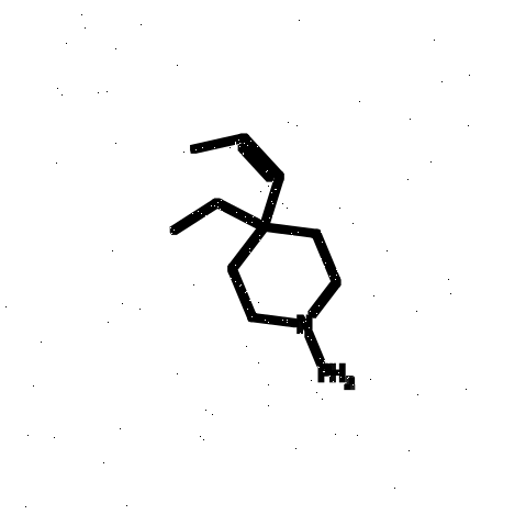 C/C=C\C1(CC)CCN(P)CC1